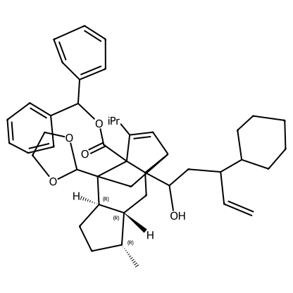 C=CC(CC(O)C12C[C@@H]3[C@H](C)CC[C@H]3C3(C4OCCO4)CC1C=C(C(C)C)C23C(=O)OC(c1ccccc1)c1ccccc1)C1CCCCC1